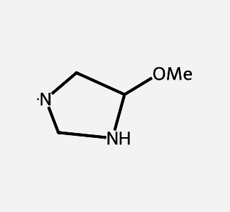 COC1C[N]CN1